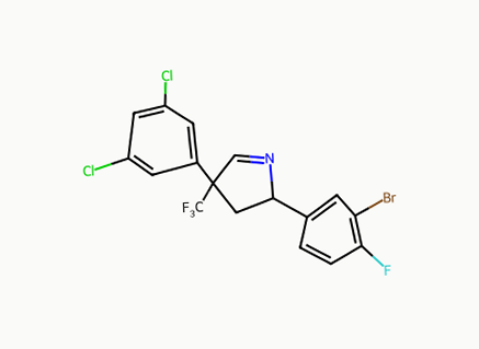 Fc1ccc(C2CC(c3cc(Cl)cc(Cl)c3)(C(F)(F)F)C=N2)cc1Br